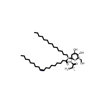 CCCCCCCC/C=C\CCCCCCCC(=O)N(CCCCCCCCCCCCCC)[C@@]1(NC(=O)[C@H](C)N)C[C@@H](O)[C@H](O)[C@@H](CO)O1